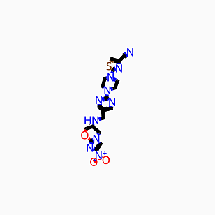 N#Cc1csc(N2CCN(c3ncc(CN[C@@H]4COc5nc([N+](=O)[O-])cn5C4)cn3)CC2)n1